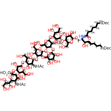 CCCCCCCCCCCCC/C=C/[C@@H](O)[C@H](CO[C@@H]1OC(CO)[C@@H](O[C@@H]2OC(CO)[C@H](O)[C@H](O[C@@H]3OC(CO)[C@@H](O[C@@H]4OC(CO)[C@H](O)[C@H](O[C@@H]5OC(CO)[C@@H](O[C@@H]6OC(CO)[C@H](O)[C@H](O[C@]7(C(=O)O)CC(O)[C@@H](NC(C)=O)C([C@H](O)[C@H](O)CO)O7)C6O)[C@H](O)C5NC(C)=O)C4O)[C@H](O[C@H]4OC(C)[C@@H](O)C(O)[C@@H]4O)C3NC(C)=O)C2O)[C@H](O)C1O)NC(=O)CCCCCCCCCCCCCCC